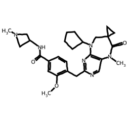 COc1cc(C(=O)NC2CN(C)C2)ccc1Cc1ncc2c(n1)N(C1CCCC1)CC1(CC1)C(=O)N2C